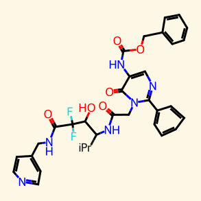 CC(C)C(NC(=O)Cn1c(-c2ccccc2)ncc(NC(=O)OCc2ccccc2)c1=O)C(O)C(F)(F)C(=O)NCc1ccncc1